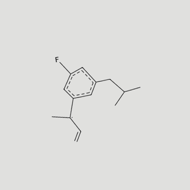 C=C[C](C)c1cc(F)cc(CC(C)C)c1